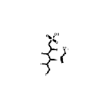 C=CCN.O=S(=O)(O)CC(F)C(F)C(F)C(F)CF